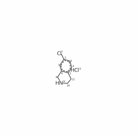 Cl.Clc1ccc2c(c1)CNCC2